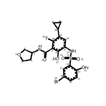 O=C(NC1CCOC1)c1c(O)c(NS(=O)(=O)c2cc(Br)ccc2O)cc(C2CC2)c1F